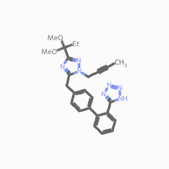 CC#CCn1nc(C(CC)(OC)OC)nc1Cc1ccc(-c2ccccc2-c2nnn[nH]2)cc1